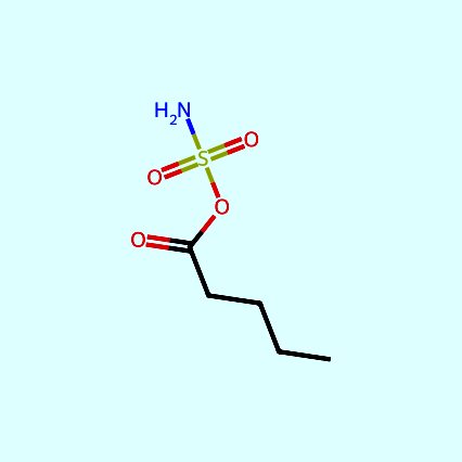 CCCCC(=O)OS(N)(=O)=O